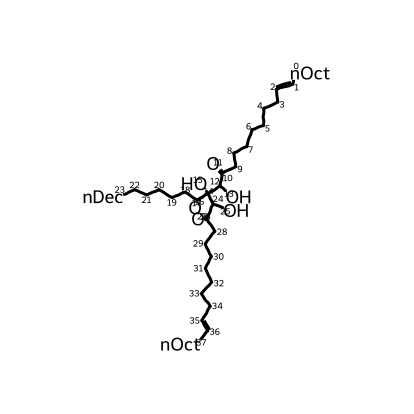 CCCCCCCCC=CCCCCCCCC(=O)C(O)C(O)(C(=O)CCCCCCCCCCCCCCC)C(O)C(=O)CCCCCCCC=CCCCCCCCC